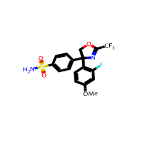 COc1ccc(C2(c3ccc(S(N)(=O)=O)cc3)COC(C(F)(F)F)=N2)c(F)c1